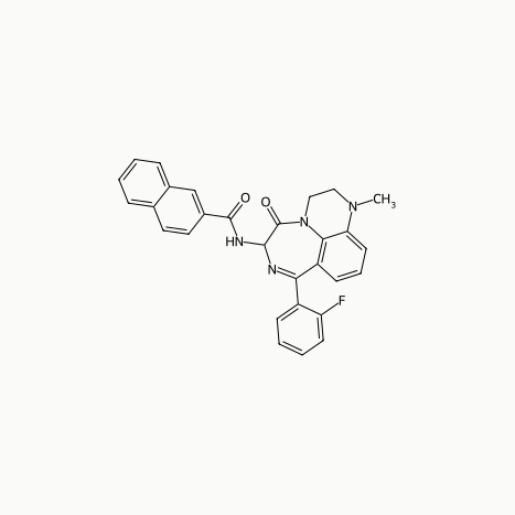 CN1CCN2C(=O)C(NC(=O)c3ccc4ccccc4c3)N=C(c3ccccc3F)c3cccc1c32